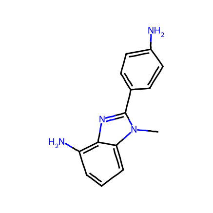 Cn1c(-c2ccc(N)cc2)nc2c(N)cccc21